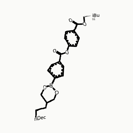 CCCCCCCCCCCCC1COB(c2ccc(C(=O)Oc3ccc(C(=O)OC[C@@H](C)CC)cc3)cc2)OC1